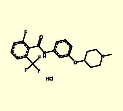 CN1CCC(Oc2cccc(NC(=O)c3c(F)cccc3C(F)(F)F)c2)CC1.Cl